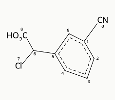 N#Cc1cccc(C(Cl)C(=O)O)c1